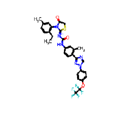 CCc1ccc(C)cc1N1C(=O)CS/C1=N\C(=O)Nc1ccc(-c2ncn(-c3ccc(OC(F)(F)C(F)(F)F)cc3)n2)c(C)c1